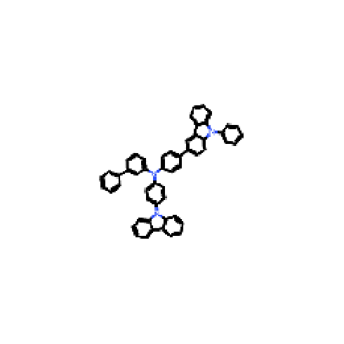 C1=CC2c3ccccc3N(c3ccc(N(c4ccc(-c5ccc6c(c5)c5ccccc5n6-c5ccccc5)cc4)c4cccc(-c5ccccc5)c4)cc3)C2C=C1